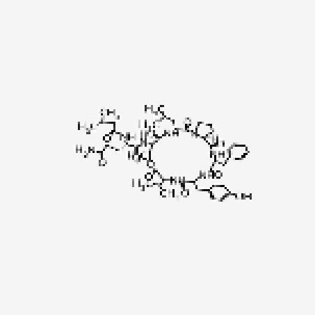 CC(C)CC(=O)N[C@@H](CCC(N)=O)C(=O)N[C@@H]1C(=O)N[C@@H](CC(C)C)C(=O)N2CCC[C@@H]2C(=O)N[C@@H](Cc2ccccc2)C(=O)N[C@@H](Cc2ccc(O)cc2)C(=O)N[C@@H](C(C)C)C(=O)O[C@@H]1C